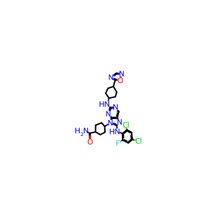 NC(=O)C1CCC(n2c(Nc3c(F)cc(Cl)cc3Cl)nc3cnc(NC4CCC(c5ncno5)CC4)nc32)CC1